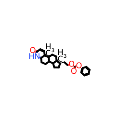 C[C@]12C=CC(=O)NC1CCC1C2CC[C@@]2(C)C1CC[C@@H]2CCOC(=O)Oc1ccccc1